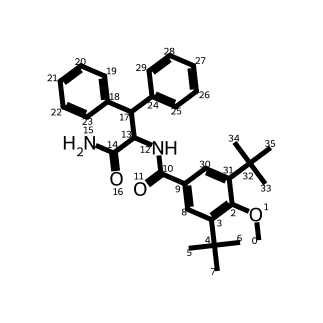 COc1c(C(C)(C)C)cc(C(=O)NC(C(N)=O)C(c2ccccc2)c2ccccc2)cc1C(C)(C)C